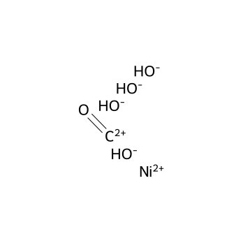 [C+2]=O.[Ni+2].[OH-].[OH-].[OH-].[OH-]